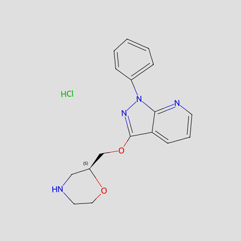 Cl.c1ccc(-n2nc(OC[C@@H]3CNCCO3)c3cccnc32)cc1